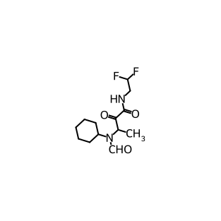 CC(C(=O)C(=O)NCC(F)F)N(C=O)C1CCCCC1